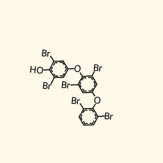 Oc1c(Br)cc(Oc2c(Br)cc(Oc3c(Br)cccc3Br)cc2Br)cc1Br